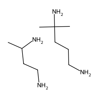 CC(C)(N)CCCN.CC(N)CCN